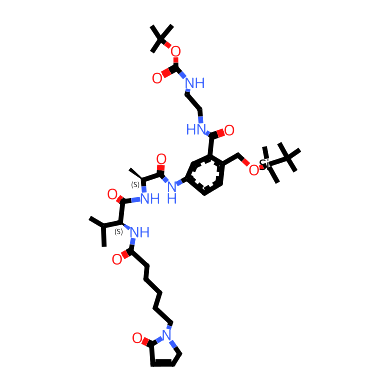 CC(C)[C@H](NC(=O)CCCCCN1CC=CC1=O)C(=O)N[C@@H](C)C(=O)Nc1ccc(CO[Si](C)(C)C(C)(C)C)c(C(=O)NCCNC(=O)OC(C)(C)C)c1